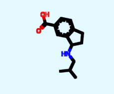 CC(C)CNC1CCc2ccc(C(=O)O)cc21